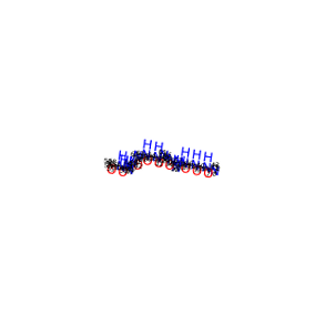 Cn1cccc1C(=O)NCCC(=O)NCCC(=O)Nc1cn(C)c(C(=O)Nc2cc(C(=O)NCCC(=O)Nc3cc(C(=O)Nc4cn(C)c(C(=O)NCCC(=O)C(C)(C)C)n4)n(C)c3)n(C)c2)n1